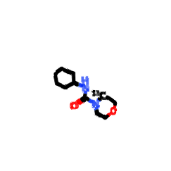 O=C(NC1CCCCC1)N1CCOC[13CH2]1